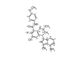 COc1ccc(NC(=O)c2c(F)c(Cl)cc(Cc3nc(C)c4c(N)nccn34)c2OC(C)C)cc1